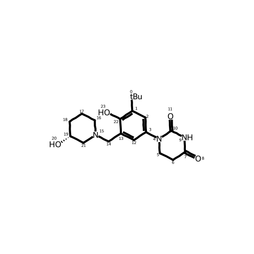 CC(C)(C)c1cc(N2CCC(=O)NC2=O)cc(CN2CCC[C@@H](O)C2)c1O